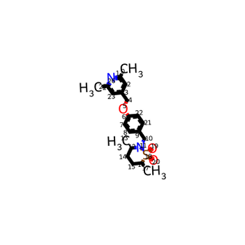 Cc1cc(COc2ccc(CN3[C@@H](C)CCC(C)S3(=O)=O)cc2)cc(C)n1